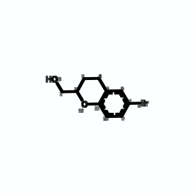 OCC1CCc2cc(Br)ccc2O1